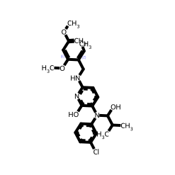 C=C(/C=C(OC)\C(=C/C)CNc1ccc(N(c2cccc(Cl)c2)C(O)C(C)C)c(O)n1)OC